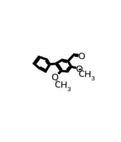 COc1cc(OC)c(-c2ccccc2)cc1C=O